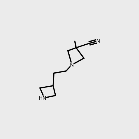 CC1(C#N)CN(CCC2CNC2)C1